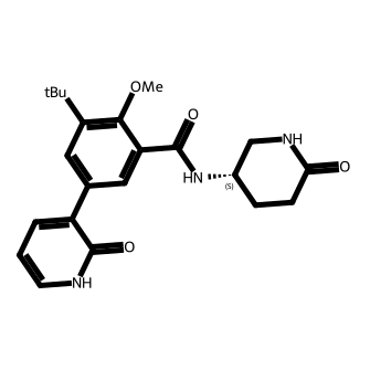 COc1c(C(=O)N[C@H]2CCC(=O)NC2)cc(-c2ccc[nH]c2=O)cc1C(C)(C)C